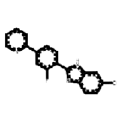 Fc1cc(-c2ccccn2)ccc1-c1nc2ccc(Cl)cc2[nH]1